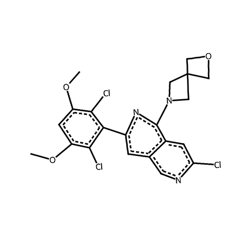 COc1cc(OC)c(Cl)c(-c2cc3cnc(Cl)cc3c(N3CC4(COC4)C3)n2)c1Cl